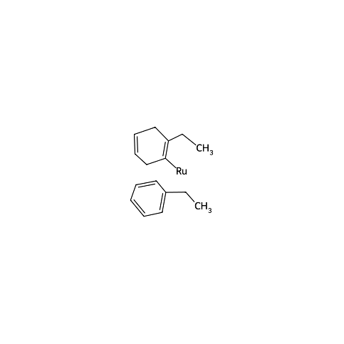 CCC1=[C]([Ru])CC=CC1.CCc1ccccc1